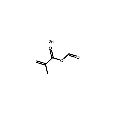 C=C(C)C(=O)OC=O.[Zn]